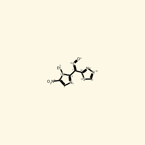 CCn1c([N+](=O)[O-])cnc1C(=S=O)c1nncs1